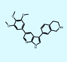 COc1cc(-c2cnc3[nH]cc(-c4ccc5c(c4)CNCC5)c3c2)cc(OC)c1OC